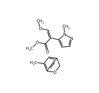 COC=C(C(=O)OC)c1ccnn1C.Cc1cc2ccc1OC2